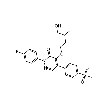 CC(CO)CCOc1c(-c2ccc(S(C)(=O)=O)cc2)cnn(-c2ccc(F)cc2)c1=O